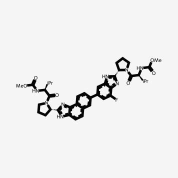 COC(=O)N[C@H](C(=O)N1CCC[C@H]1c1nc2c(F)cc(-c3ccc4c(ccc5[nH]c([C@@H]6CCCN6C(=O)[C@@H](NC(=O)OC)C(C)C)nc54)c3)cc2[nH]1)C(C)C